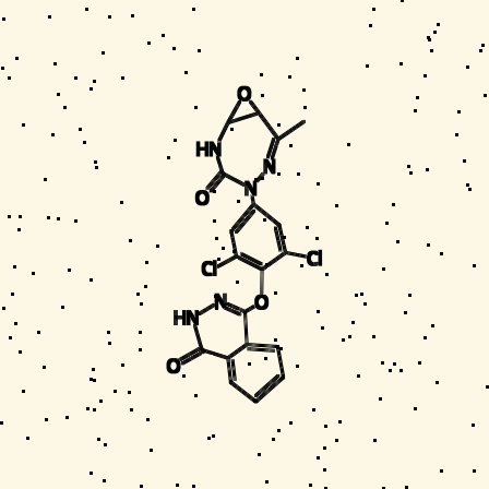 CC1=NN(c2cc(Cl)c(Oc3n[nH]c(=O)c4ccccc34)c(Cl)c2)C(=O)NC2OC12